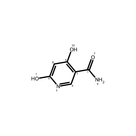 NC(=O)c1cnc(O)cc1O